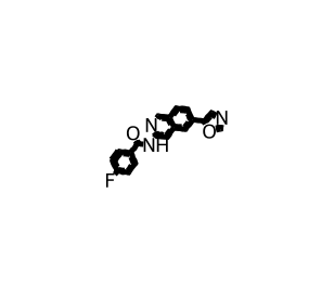 O=C(Nc1cc2cc(-c3cnco3)ccc2cn1)c1c#cc(F)cc1